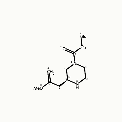 C=C(C[C@H]1CN(C(=O)OC(C)(C)C)CCN1)OC